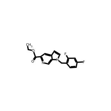 CCOC(=O)c1cc2ccn(Cc3ccc(F)cc3F)c2cn1